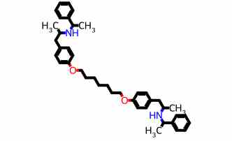 CC(Cc1ccc(OCCCCCCCOc2ccc(CC(C)NC(C)c3ccccc3)cc2)cc1)NC(C)c1ccccc1